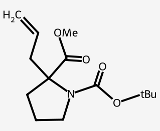 C=CCC1(C(=O)OC)CCCN1C(=O)OC(C)(C)C